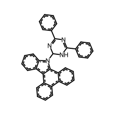 c1ccc(C2=NC(n3c4ccccc4c4c5ccccc5c5ccccc5c43)NC(c3ccccc3)=N2)cc1